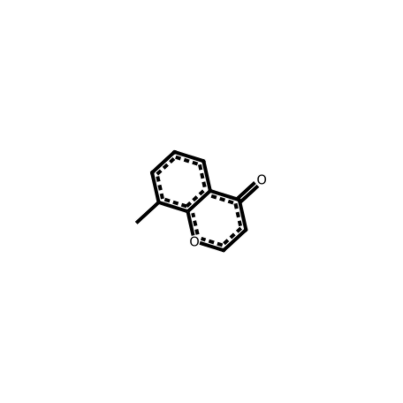 Cc1cccc2c(=O)ccoc12